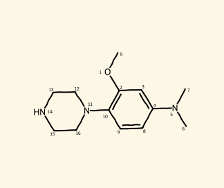 COc1cc(N(C)C)ccc1N1CCNCC1